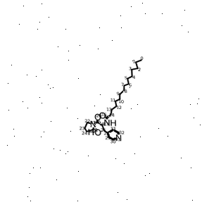 CCCCCCCCCCCCCCCC(=O)N[C@@H](C(=O)N1CCCC1)[C@@H](O)c1ccncc1